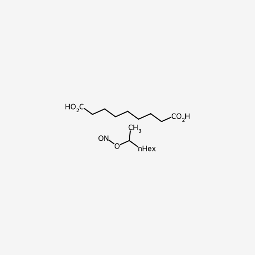 CCCCCCC(C)ON=O.O=C(O)CCCCCCCC(=O)O